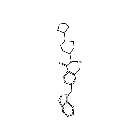 CN(C(=O)c1ccc(Cn2cnc3ccccc32)cc1F)C1CCN(C2CCCC2)CC1